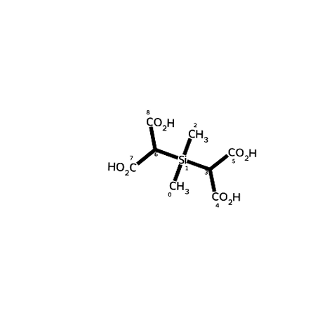 C[Si](C)(C(C(=O)O)C(=O)O)C(C(=O)O)C(=O)O